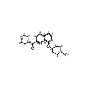 CC(C)N1CCC(Oc2cccc3ccc(C(=O)N4CCOCC4)nc23)CC1